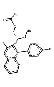 Cc1cc2cccnc2c(-c2ccc(Cl)cc2)c1[C@H](COC(=O)C(C)(C)C)OC(C)(C)C